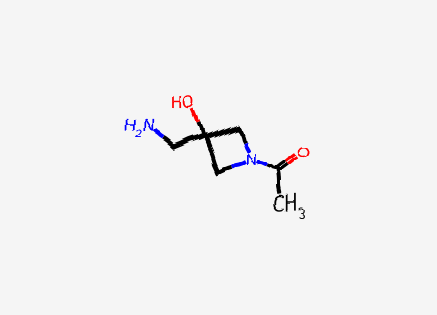 CC(=O)N1CC(O)(CN)C1